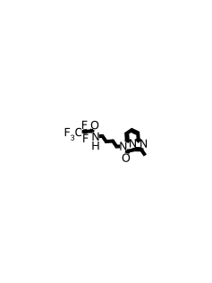 Cc1nc2cccc3n(CCCCNC(=O)C(F)(F)C(F)(F)F)c(=O)c1n23